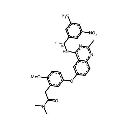 COc1ccc(Oc2ccc3nc(C)nc(N[C@H](C)c4cc([N+](=O)[O-])cc(C(F)(F)F)c4)c3c2)cc1CC(=O)N(C)C